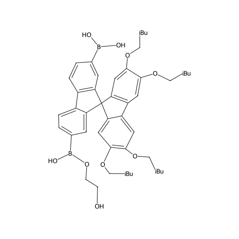 CCC(C)COc1cc2c(cc1OCC(C)CC)C1(c3cc(B(O)O)ccc3-c3ccc(B(O)OCCO)cc31)c1cc(OCC(C)CC)c(OCC(C)CC)cc1-2